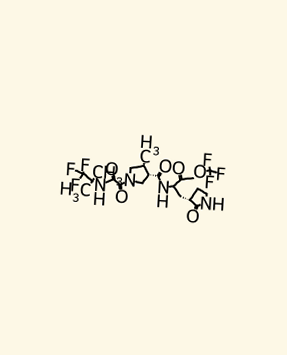 C[C@@H]1CN(C(=O)C(=O)NC(C)(C)C(F)(F)F)C[C@H]1C(=O)NC(C[C@@H]1CCNC1=O)C(=O)COC(F)(F)F